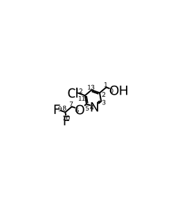 OCc1cnc(OCC(F)F)c(Cl)c1